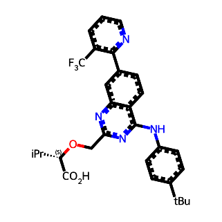 CC(C)[C@H](OCc1nc(Nc2ccc(C(C)(C)C)cc2)c2ccc(-c3ncccc3C(F)(F)F)cc2n1)C(=O)O